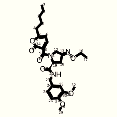 CCCCCc1ccc(C(=O)N2C/C(=N/OCC)C[C@H]2C(=O)NCc2ccc(OC)c(OC)c2)c(=O)o1